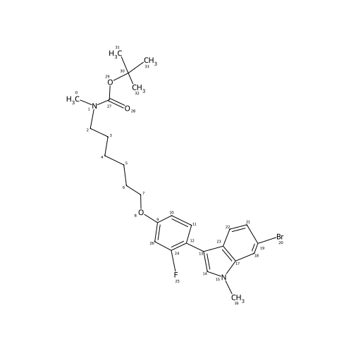 CN(CCCCCCOc1ccc(-c2cn(C)c3cc(Br)ccc23)c(F)c1)C(=O)OC(C)(C)C